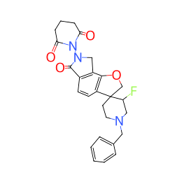 O=C1c2ccc3c(c2CN1N1C(=O)CCCC1=O)OCC31CCN(Cc2ccccc2)CC1F